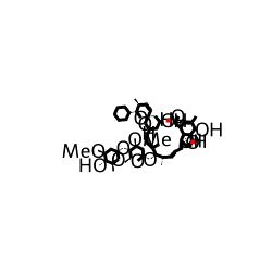 CO[C@H]1C[C@H](O[C@H]2[C@H](C)O[C@@H](O[C@@H]3/C(C)=C/C[C@@H]4C[C@@H](C[C@]5(C=C[C@H](C)[C@@H](C6CCCCC6)O5)O4)OC(=O)[C@@H]4C=C(C)[C@@H](O)[C@H]5OC/C(=C\C=C\[C@@H]3C)[C@]54O)C[C@@H]2OC)O[C@@H](C)[C@@H]1O